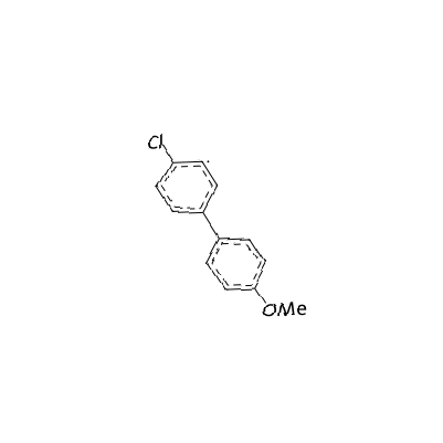 COc1ccc(-c2c[c]c(Cl)cc2)cc1